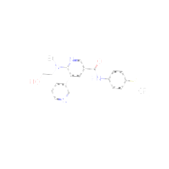 CCN(CCO)c1ncc(C(=O)Nc2ccc(SC(F)(F)F)cc2)cc1-c1cccnc1